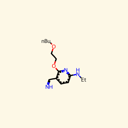 CCCCOCCOc1nc(NCC)ccc1C=N